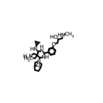 CCC1(CN)C(NC2CC2)NC(c2cccc(OCC(O)CNC)c2)NC1N1CC2CCC(C1)O2